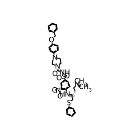 CN(C)CC[C@H](CSc1ccccc1)Nc1ccc(S(=O)(=O)NC(=O)N2CCN(c3ccc(OCc4ccccc4)cc3)CC2)cc1[N+](=O)[O-]